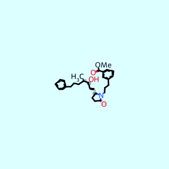 COC(=O)c1cccc(CCCN2C(=O)CC[C@@H]2C=C[C@H](O)[C@@H](C)CCCc2ccccc2)c1